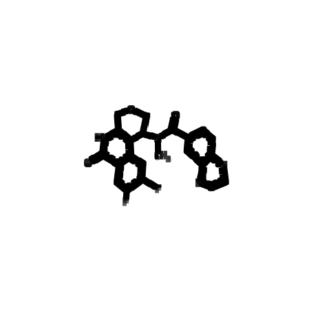 CN(C(=O)c1ccc2nccnc2c1)C1COCc2[nH]c(=O)c3cc(F)c(F)cc3c21